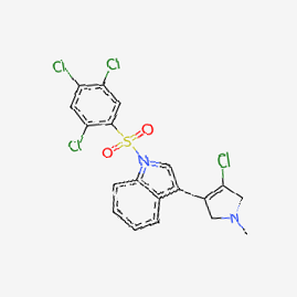 CN1CC(Cl)=C(c2cn(S(=O)(=O)c3cc(Cl)c(Cl)cc3Cl)c3ccccc23)C1